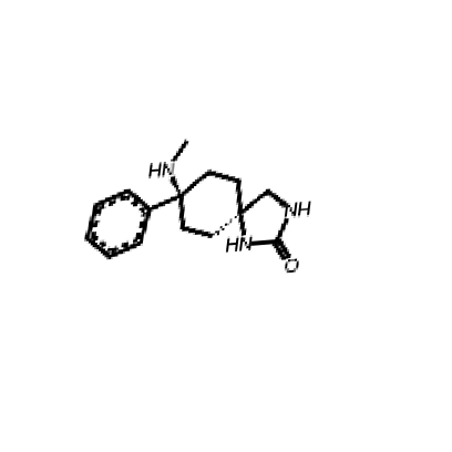 CN[C@]1(c2ccccc2)CC[C@]2(CC1)CNC(=O)N2